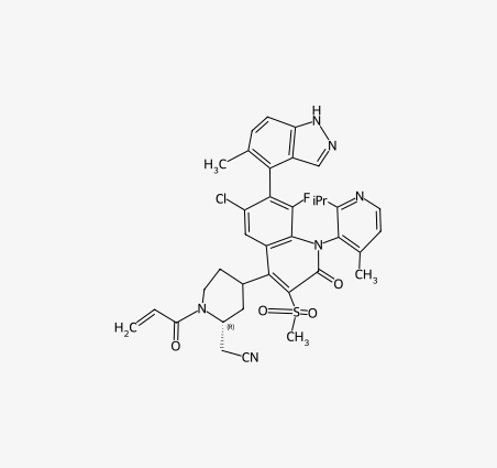 C=CC(=O)N1CCC(c2c(S(C)(=O)=O)c(=O)n(-c3c(C)ccnc3C(C)C)c3c(F)c(-c4c(C)ccc5[nH]ncc45)c(Cl)cc23)C[C@@H]1CC#N